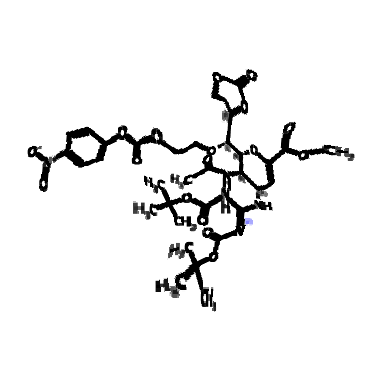 COC(=O)C1=C[C@H](N/C(=N/C(=O)OC(C)(C)C)NC(=O)OC(C)(C)C)[C@@H](NC(C)=O)[C@H]([C@H](OCCOC(=O)Oc2ccc([N+](=O)[O-])cc2)[C@H]2COC(=O)O2)O1